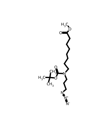 COC(=O)CCCCCCCN(CCCN=[N+]=[N-])C(=O)OC(C)(C)C